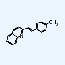 Cc1ccc(C=Cc2ccc3ccccc3n2)cc1